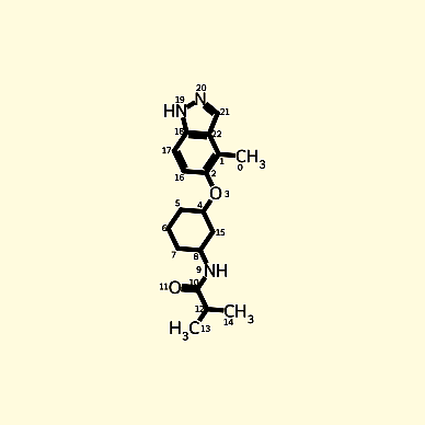 Cc1c(OC2CCCC(NC(=O)C(C)C)C2)ccc2[nH]ncc12